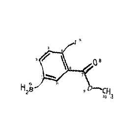 Bc1ccc(I)c(C(=O)OC)c1